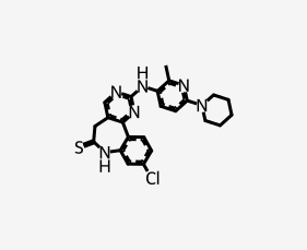 Cc1nc(N2CCCCC2)ccc1Nc1ncc2c(n1)-c1ccc(Cl)cc1NC(=S)C2